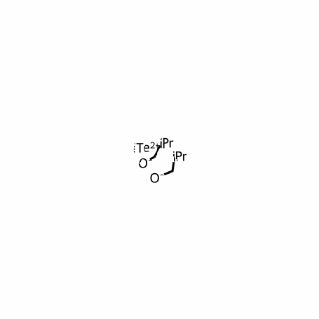 CC(C)C[O-].CC(C)C[O-].[Te+2]